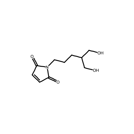 O=C1C=CC(=O)N1CCCC(CO)CO